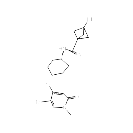 Cn1cc(Br)c(O[C@H]2CC[C@H](NC(=O)C34CC(N)(C3)C4)CC2)cc1=O